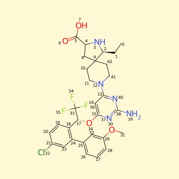 CC[C@@H]1NC(C(=O)O)CC12CCN(c1cc(O[C@H](c3ccc(Cl)cc3-c3cccc(OC)c3)C(F)(F)F)nc(N)n1)CC2